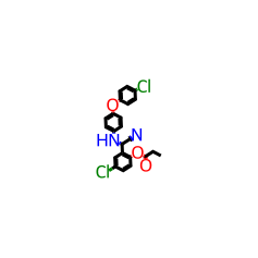 CCC(=O)Oc1ccc(Cl)cc1C(C#N)Nc1ccc(Oc2ccc(Cl)cc2)cc1